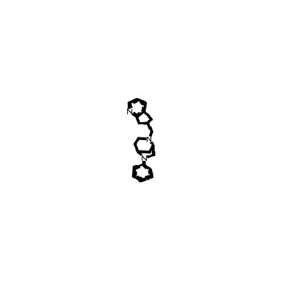 c1ccc(N2CC3CC2CCN3CC2Cc3cccnc3C2)cc1